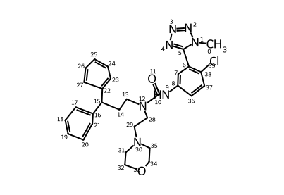 Cn1nnnc1-c1cc(NC(=O)N(CCC(c2ccccc2)c2ccccc2)CCN2CCOCC2)ccc1Cl